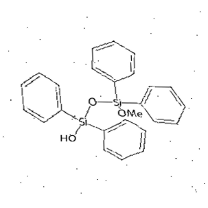 CO[Si](O[Si](O)(c1ccccc1)c1ccccc1)(c1ccccc1)c1ccccc1